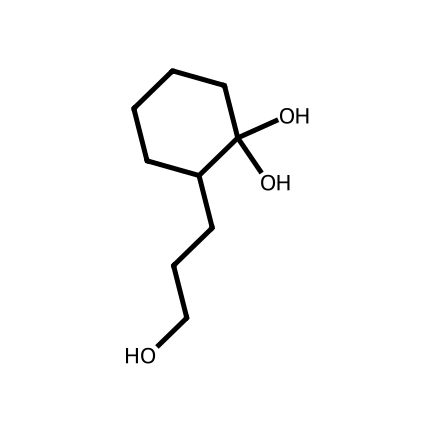 OCCCC1CCCCC1(O)O